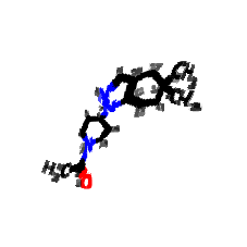 CC(=O)N1CCC(n2ncc3c2CCC(C)(C)C3)CC1